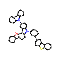 c1cc(-c2ccc3sc4ccccc4c3c2)cc(-n2c3ccc(-n4c5ccccc5c5ccccc54)cc3c3c4oc5ccccc5c4ccc32)c1